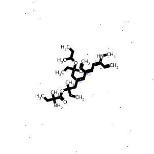 BC(C)(CC)C(=O)OC(C)(CC)C/C(=C/C(C=C)=C/C=C(\C=C)NC)CC(C)(CC)OC(C)CC